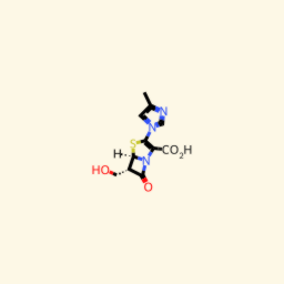 Cc1cn(C2=C(C(=O)O)N3C(=O)[C@H](CO)[C@H]3S2)cn1